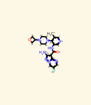 Cc1cncc(NC(=O)c2c(N)nn3cc(F)cnc23)c1N1CCN(C2COC2)CC1